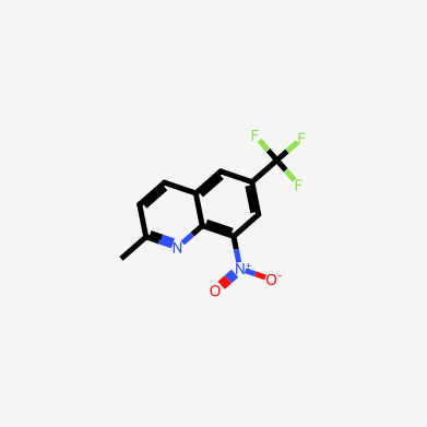 Cc1ccc2cc(C(F)(F)F)cc([N+](=O)[O-])c2n1